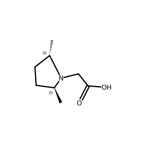 C[C@H]1CC[C@H](C)N1CC(=O)O